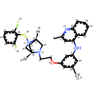 Cc1cc(Nc2cc(OCCN3C[C@@H]4C[C@H]3CN4Sc3c(F)cccc3F)cc(C(F)(F)F)c2)c2ccccc2n1